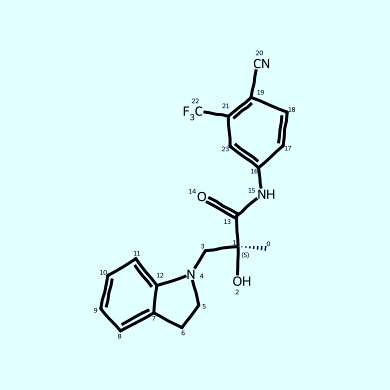 C[C@](O)(CN1CCc2ccccc21)C(=O)Nc1ccc(C#N)c(C(F)(F)F)c1